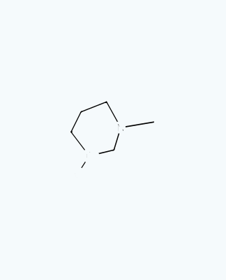 [CH2-][C+]1CCCN(C)C1